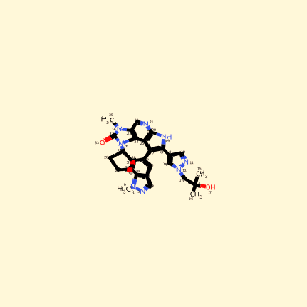 Cn1ncc2cc(-c3c(-c4cnn(CC(C)(C)O)c4)[nH]c4ncc5c(c34)n(C3CCCC3)c(=O)n5C)ccc21